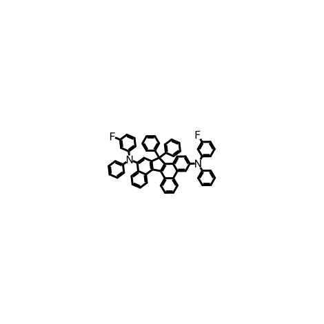 Fc1cccc(N(c2ccccc2)c2ccc3c4c(c5ccccc5c3c2)-c2c(cc(N(c3ccccc3)c3cccc(F)c3)c3ccccc23)C4(c2ccccc2)c2ccccc2)c1